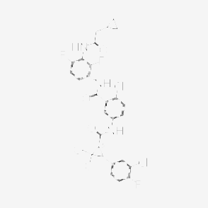 O=C(CC1CC1)Nc1c(F)ccc(NC(=O)c2cc(NC(=O)[C@H]3C(c4ccc(F)c(Cl)c4)C3(Cl)Cl)ccc2Cl)c1F